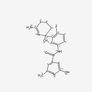 Cc1cc(C(=O)Nc2ccc(F)c(C3(C)CCSC(N)=N3)c2)cc(O)n1